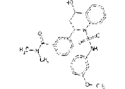 COc1cccc(NS(=O)(=O)N2c3ccccc3C(O)CC2c2cccc(C(=O)N(C)C)c2)c1